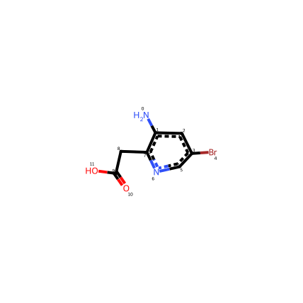 Nc1cc(Br)cnc1CC(=O)O